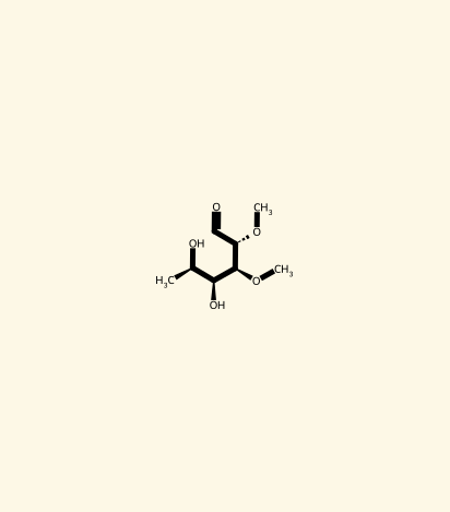 CO[C@@H]([C@@H](O)[C@@H](C)O)[C@H](C=O)OC